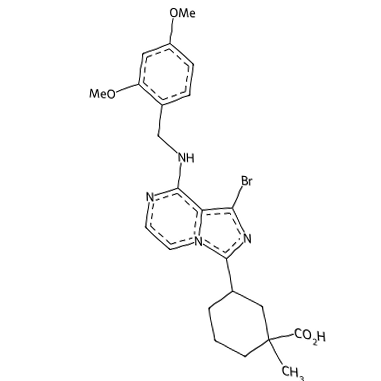 COc1ccc(CNc2nccn3c(C4CCCC(C)(C(=O)O)C4)nc(Br)c23)c(OC)c1